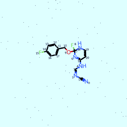 N#C/N=C\NC1=NC(F)(OCc2ccc(F)cc2)NC=C1